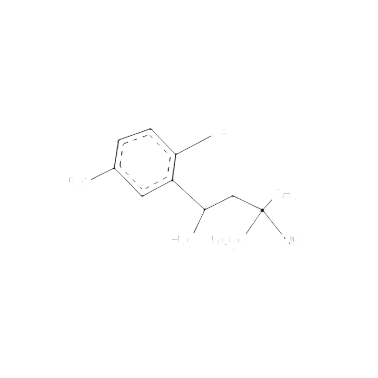 CC(CC(C)(N)C(=O)O)c1cc(C(F)(F)F)ccc1C(F)(F)F